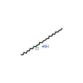 CCCCCCCCCCCCCCCCCC(Cl)CCCCCCCCC.CNC